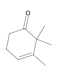 CC1=CCCC(=O)C1(C)C